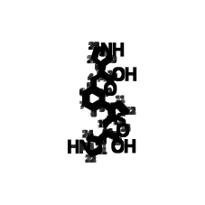 O=C(O)[C@@H](Cc1cccc(-c2ccsc2C[C@H](C(=O)O)[C@H]2CCNC2)c1)[C@H]1CCNC1